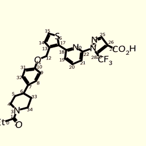 CCC(=O)N1CCC(c2ccc(OCc3ccsc3-c3cccc(-n4ncc(C(=O)O)c4C(F)(F)F)n3)cc2)CC1